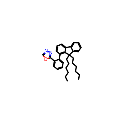 CCCCCCC1(CCCCCC)c2ccccc2-c2cccc(-c3ccccc3-c3nnco3)c21